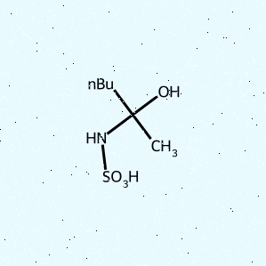 CCCCC(C)(O)NS(=O)(=O)O